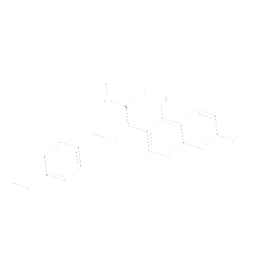 COC(=O)C(OCc1ccc(OC)cc1)c1c(C)cc2cc(Cl)ccc2c1O